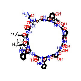 CCCC[C@H]1C(=O)N(C)[C@@H](CCCC)C(=O)N[C@@H](CO)C(=O)N[C@H](C(=O)NCC(N)=O)CSCC(=O)N[C@@H](Cc2ccc(O)cc2)C(=O)N(C)[C@@H](C)C(=O)N[C@@H](CO)C(=O)N2CCC[C@H]2C(=O)N[C@@H](CO)C(=O)N[C@@H](CO)C(=O)N2C[C@H](O)C[C@H]2C(=O)N[C@@H](Cc2c[nH]c3ccccc23)C(=O)N[C@@H](CO)C(=O)N[C@@H](Cc2c[nH]c3ccccc23)C(=O)N1C